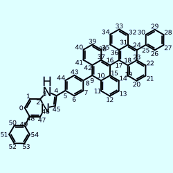 C1=CC2NC(c3ccc(-c4c5ccccc5c(-c5c6ccccc6c(-c6ccccc6)c6ccccc56)c5ccccc45)cc3)=CN2C=C1c1ccccc1